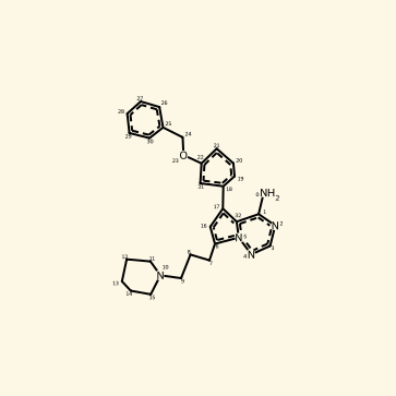 Nc1ncnn2c(CCCN3CCCCC3)cc(-c3cccc(OCc4ccccc4)c3)c12